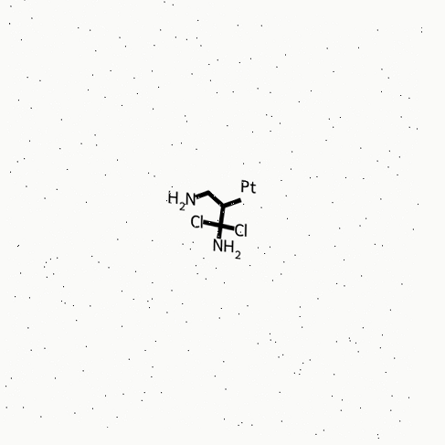 CC(CN)C(N)(Cl)Cl.[Pt]